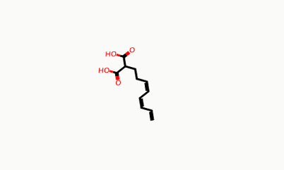 C=C/C=C\C=C/CCC(C(=O)O)C(=O)O